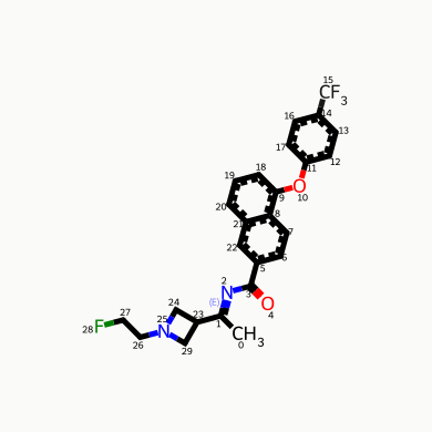 C/C(=N\C(=O)c1ccc2c(Oc3ccc(C(F)(F)F)cc3)cccc2c1)C1CN(CCF)C1